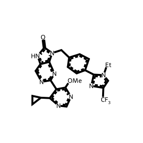 CCn1cc(C(F)(F)F)nc1-c1ccc(Cn2c(=O)[nH]c3cnc(-c4c(OC)ncnc4C4CC4)nc32)cc1